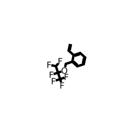 C=Cc1ccccc1COC(F)(C(F)F)C(F)(F)F